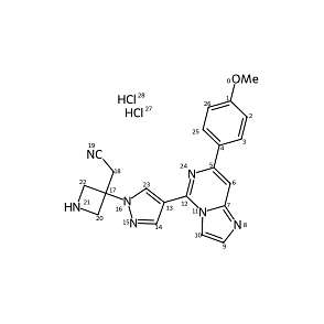 COc1ccc(-c2cc3nccn3c(-c3cnn(C4(CC#N)CNC4)c3)n2)cc1.Cl.Cl